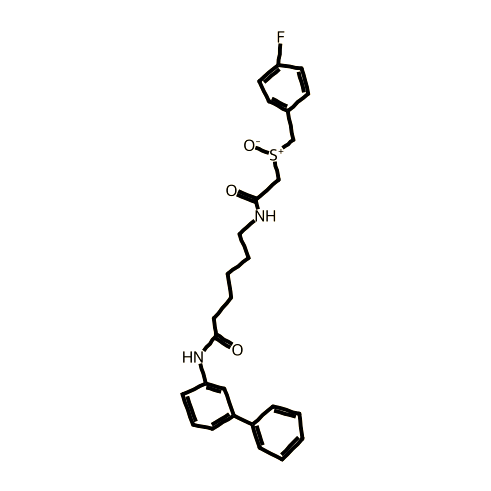 O=C(C[S+]([O-])Cc1ccc(F)cc1)NCCCCCC(=O)Nc1cccc(-c2ccccc2)c1